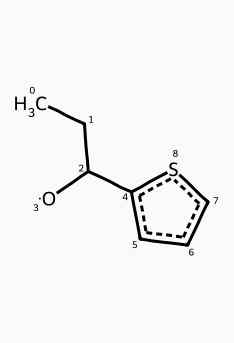 CCC([O])c1cccs1